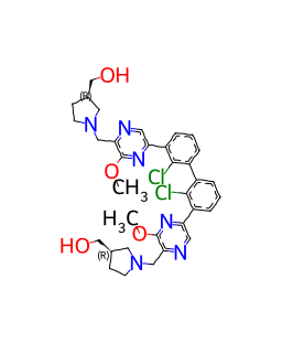 COc1nc(-c2cccc(-c3cccc(-c4cnc(CN5CC[C@@H](CO)C5)c(OC)n4)c3Cl)c2Cl)cnc1CN1CC[C@@H](CO)C1